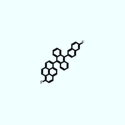 Fc1ccc2cc(-c3c4ccccc4c(-c4ccc5ccc6c(F)ccc7ccc4c5c76)c4ccccc34)ccc2c1